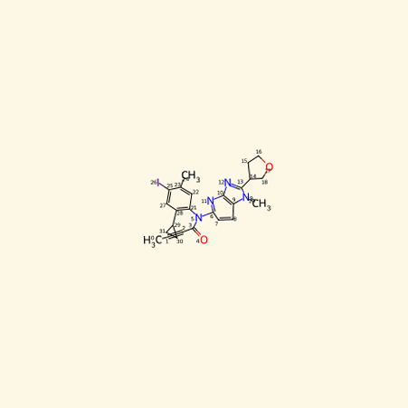 CC#CC(=O)N(c1ccc2c(n1)nc(C1CCOC1)n2C)c1cc(C)c(I)cc1C1CC1